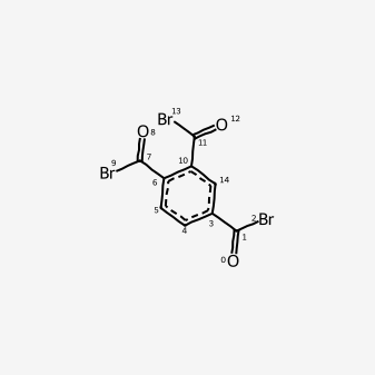 O=C(Br)c1ccc(C(=O)Br)c(C(=O)Br)c1